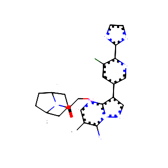 CC(=O)c1c([C@@H]2C[C@H]3CC[C@@H](C2)N3C(=O)CO)nc2c(-c3cnc(-c4ncc[nH]4)c(F)c3)cnn2c1N